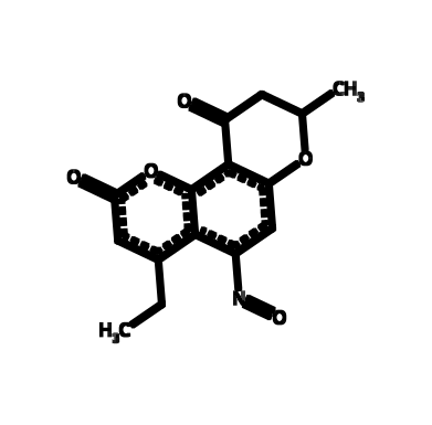 CCc1cc(=O)oc2c3c(cc(N=O)c12)OC(C)CC3=O